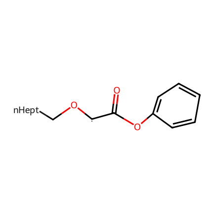 CCCCCCCCO[CH]C(=O)Oc1ccccc1